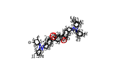 Cc1cc(C)cc(N(c2cc(C)cc(C)c2)c2ccc3cc4c(cc3c2)oc2cc3c(cc24)oc2cc4cc(N(c5cc(C)cc(C)c5)c5cc(C)cc(C)c5)ccc4cc23)c1